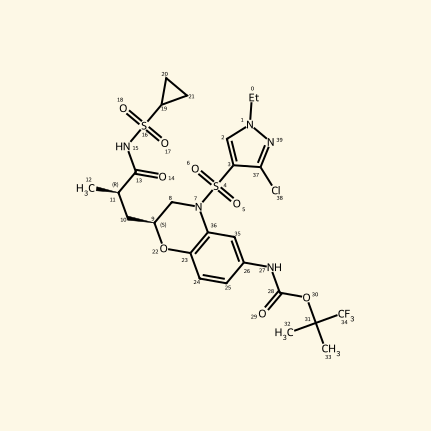 CCn1cc(S(=O)(=O)N2C[C@H](C[C@@H](C)C(=O)NS(=O)(=O)C3CC3)Oc3ccc(NC(=O)OC(C)(C)C(F)(F)F)cc32)c(Cl)n1